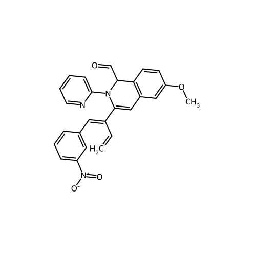 C=C/C(=C\c1cccc([N+](=O)[O-])c1)C1=Cc2cc(OC)ccc2C(C=O)N1c1ccccn1